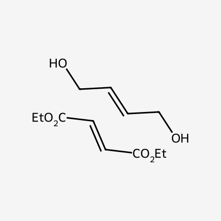 CCOC(=O)/C=C/C(=O)OCC.OC/C=C/CO